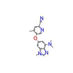 Cc1cc(C#N)ncc1Oc1cc(N(C)C)c2ncn(C)c2c1